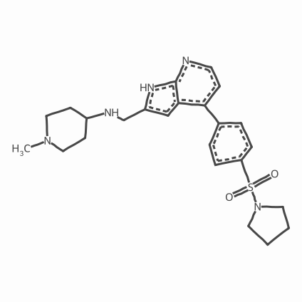 CN1CCC(NCc2cc3c(-c4ccc(S(=O)(=O)N5CCCC5)cc4)ccnc3[nH]2)CC1